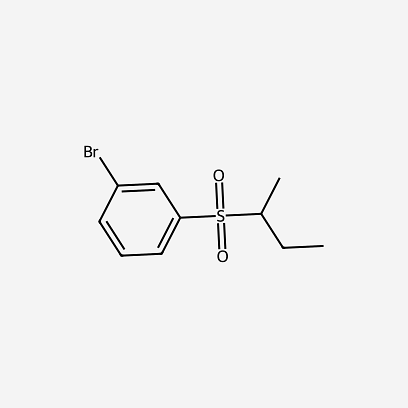 CCC(C)S(=O)(=O)c1cccc(Br)c1